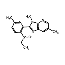 CC[S+]([O-])c1ccc(C)nc1-c1nc2cc(C)cnc2n1C